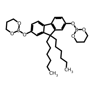 CCCCCCC1(CCCCCC)c2cc(OB3OCCCO3)ccc2-c2ccc(OB3OCCCO3)cc21